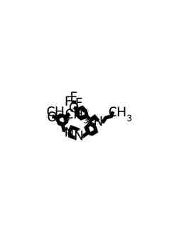 CCCCn1cc(-c2ccc(OC(F)(F)F)cc2)c2cc(CN3CCN(Cc4cc(C)cc(OC)c4)CC3)ccc21